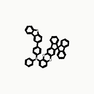 c1ccc(N(c2ccc(-c3ccc4sc5ccccc5c4c3)cc2)c2cccc3c2Oc2cc4c(cc2O3)C2(c3ccccc3-c3ccccc32)c2ccccc2-4)cc1